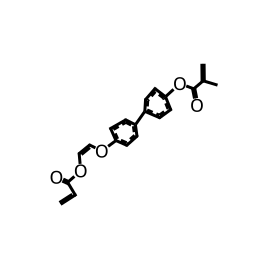 C=CC(=O)O/C=C\Oc1ccc(-c2ccc(OC(=O)C(=C)C)cc2)cc1